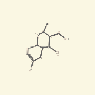 CC1SC2CC=C(Cl)CC2C(Cl)C1CO